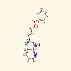 c1ccc(COCCCc2nc3cccnc3[nH]2)cc1